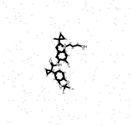 CC1(c2cc3cc(NC(=O)C4(c5ccc6c(c5)OC(F)(F)O6)CC4)c(F)cc3n2CCCO)CC1